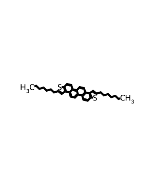 CCCCCCCc1cc2c(ccc3c2ccc2c4ccc5sc(CCCCCCC)cc5c4ccc32)s1